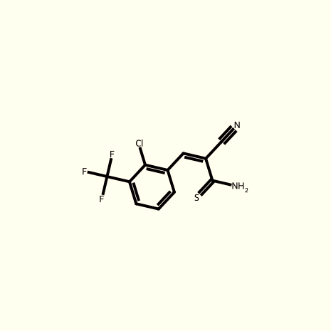 N#CC(=Cc1cccc(C(F)(F)F)c1Cl)C(N)=S